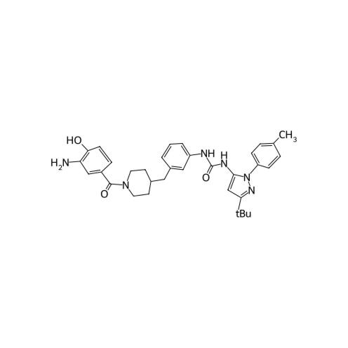 Cc1ccc(-n2nc(C(C)(C)C)cc2NC(=O)Nc2cccc(CC3CCN(C(=O)c4ccc(O)c(N)c4)CC3)c2)cc1